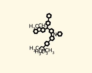 CC(C)CC(c1ccc(-c2ccc3c(c2)c2cc(C(c4ccc(-c5ccccc5)cc4)c4ccc5c(c4)C(C)(C)c4ccccc4-5)ccc2n3-c2ccccc2)cc1)C(C)C